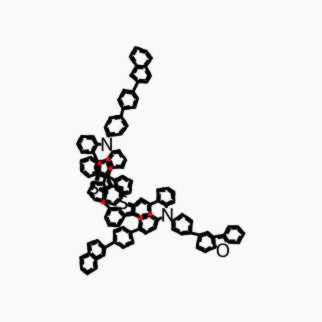 c1ccc(C2(c3cccc(-c4cccc5c4sc4cc(-c6ccccc6N(c6ccc(-c7ccc(-c8ccc9ccccc9c8)cc7)cc6)c6ccc(-c7ccc8oc9ccccc9c8c7)cc6)ccc45)c3)c3ccccc3-c3c(N(c4ccc(-c5ccc(-c6ccc7ccccc7c6)cc5)cc4)c4ccccc4-c4ccc5c(c4)sc4ccccc45)cccc32)cc1